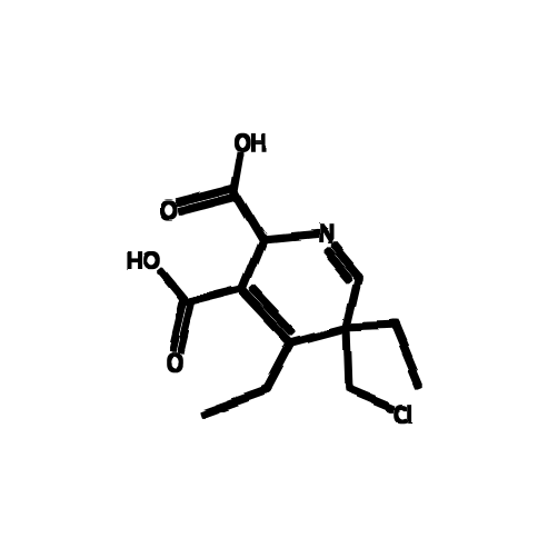 CCC1=C(C(=O)O)C(C(=O)O)N=CC1(CC)CCl